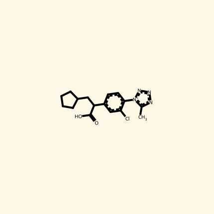 Cc1nnnn1-c1ccc(C(CC2CCCC2)C(=O)O)cc1Cl